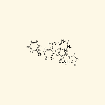 Nc1ncnn2c(C3CCCC3)c(C(=O)O)c(-c3ccc(Oc4ccccc4)cc3)c12